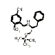 C[Si](C)(C)OC[C@@H](Cc1ccccc1)NCc1cc(C#N)ccc1[N+](=O)[O-]